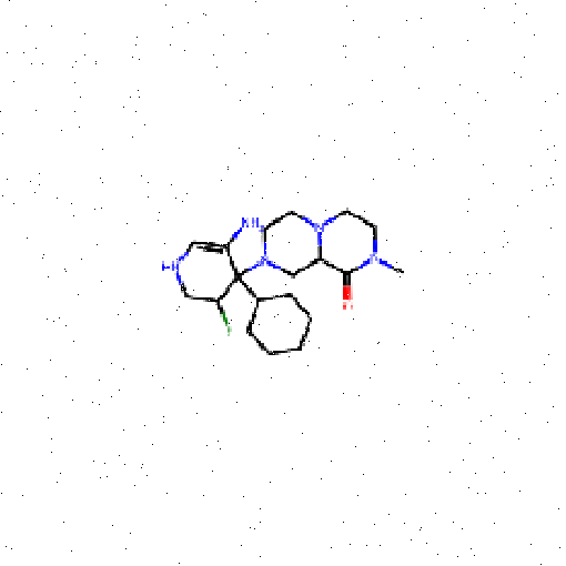 CN1CCN2CCN(C3(C4CCCCC4)C(N)=CNCC3F)CC2C1=O